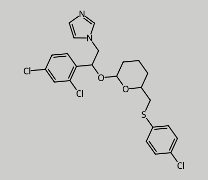 Clc1ccc(SCC2CCCC(OC(Cn3ccnc3)c3ccc(Cl)cc3Cl)O2)cc1